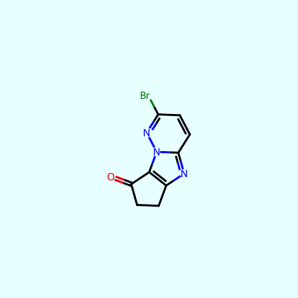 O=C1CCc2nc3ccc(Br)nn3c21